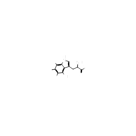 CC(=O)C(N)Cc1c[nH]c2c(C)c(C)c(C)c(C)c12